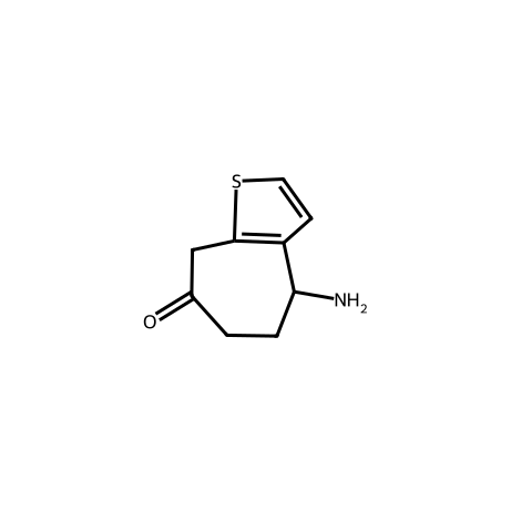 NC1CCC(=O)Cc2sccc21